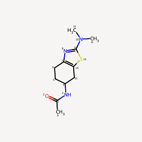 CC(=O)NC1CCc2nc(N(C)C)sc2C1